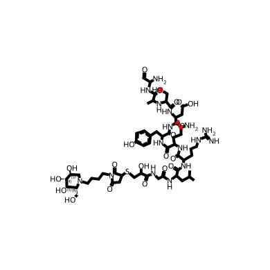 CC(C)CC(NC(=O)CNC(=O)C(O)CSC1CC(=O)N(CCCCN2C[C@H](O)[C@@H](O)[C@@H](O)[C@H]2CO)C1=O)C(=O)NC(CCCNC(=N)N)C(=O)NC(CCC(N)=O)C(=O)NC(Cc1ccc(O)cc1)C(=O)NC(=O)C(CC(=O)O)NC(=O)C(CO)NC(C)C(=O)NC(N)C=O